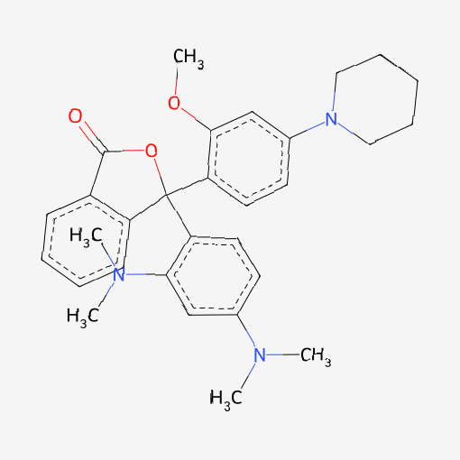 COc1cc(N2CCCCC2)ccc1C1(c2ccc(N(C)C)cc2N(C)C)OC(=O)c2ccccc21